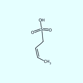 C/C=C\CS(=O)(=O)O